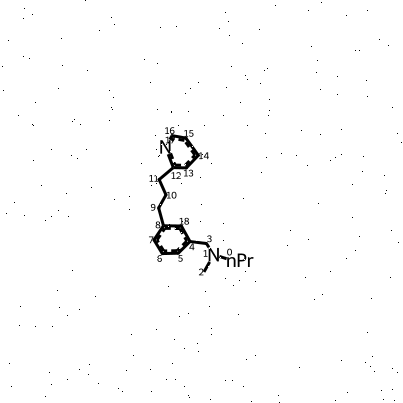 CCCN(C)Cc1cccc(CCCc2ccccn2)c1